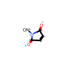 O=NN1C(=O)C=CC1=O